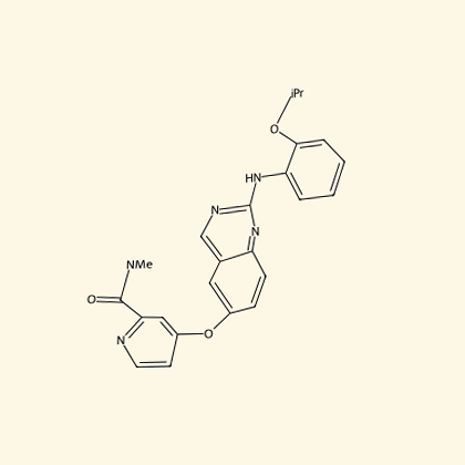 CNC(=O)c1cc(Oc2ccc3nc(Nc4ccccc4OC(C)C)ncc3c2)ccn1